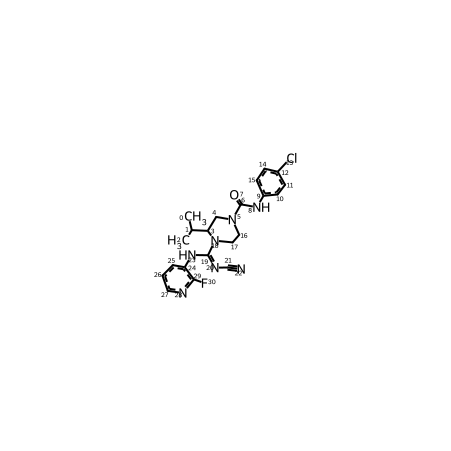 CC(C)C1CN(C(=O)Nc2ccc(Cl)cc2)CCN1/C(=N\C#N)Nc1cccnc1F